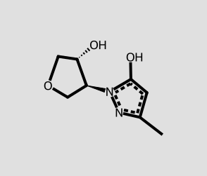 Cc1cc(O)n([C@H]2COC[C@@H]2O)n1